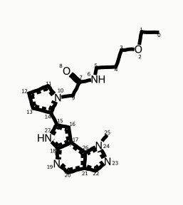 CCOCCCNC(=O)Cn1cccc1-c1cc2c(ncc3cnn(C)c32)[nH]1